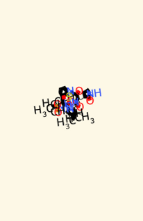 CC(C)[C@H](NS(=O)(=O)C(C)(C)C)C(=O)N1C[C@H]2[C@@H]([C@H]1C(=O)N[C@@H](C[C@@H]1CCNC1=O)C(=O)c1nc3ccccc3s1)C2(C)C